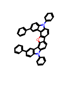 c1ccc(-c2ccc3c(c2)c2c4oc5c(ccc6c5c5cc(-c7ccccc7)ccc5n6-c5ccccc5)c4ccc2n3-c2ccccc2)cc1